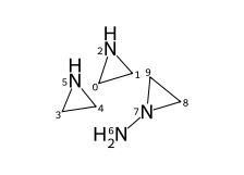 C1CN1.C1CN1.NN1CC1